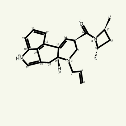 C=CCN1C[C@H](C(=O)N2[C@@H](C)C[C@@H]2C)C=C2c3cccc4[nH]cc(c34)C[C@H]21